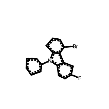 Fc1ccc2c(c1)c1c(Br)cccc1n2-c1ccccc1